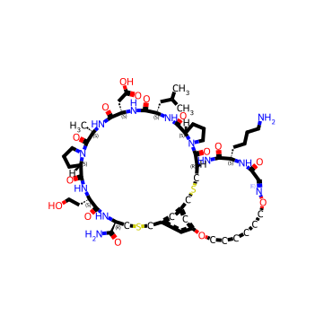 CC(C)C[C@@H]1NC(=O)[C@@H]2CCCN2C(=O)[C@@H]2CSCc3cc(cc(c3)OCCCCCCO/N=C/C(=O)N[C@@H](CCCCN)C(=O)N2)CSC[C@@H](C(N)=O)NC(=O)[C@H](CCO)NC(=O)[C@@H]2CCCN2C(=O)[C@H](C)NC(=O)[C@H](CC(=O)O)NC1=O